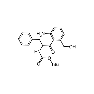 CC(C)(C)OC(=O)NC(Cc1ccccc1)C(=O)c1c(N)cccc1CO